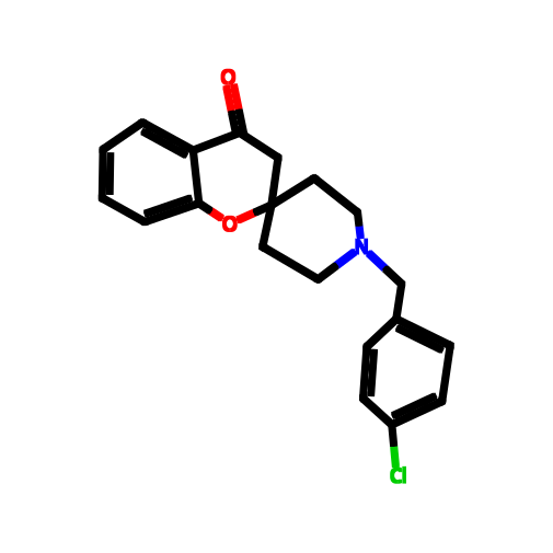 O=C1CC2(CCN(Cc3ccc(Cl)cc3)CC2)Oc2ccccc21